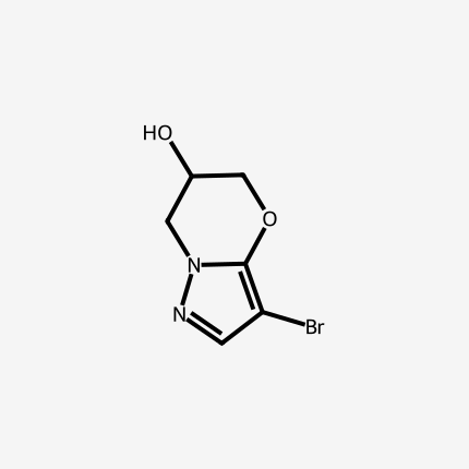 OC1COc2c(Br)cnn2C1